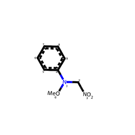 CON(C[N+](=O)[O-])c1ccccc1